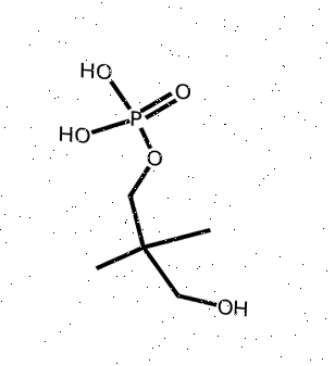 CC(C)(CO)COP(=O)(O)O